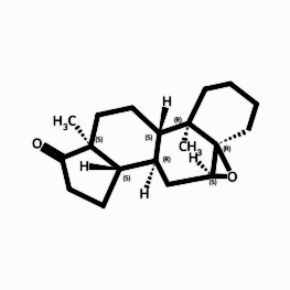 C[C@]12CC[C@H]3[C@@H](C[C@@H]4O[C@@]45CCCC[C@]35C)[C@@H]1CCC2=O